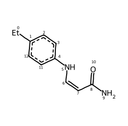 CCc1ccc(N/C=C\C(N)=O)cc1